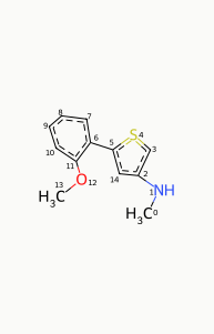 CNc1csc(-c2ccccc2OC)c1